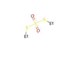 CCSS(=O)(=O)SCC